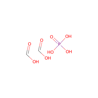 O=CO.O=CO.O=P(O)(O)O